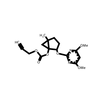 C#CCOC(=O)OC12CC1(C)CCC2Oc1nc(OC)cc(OC)n1